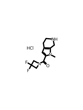 Cl.Cn1c(C(=O)N2CC(F)(F)C2)cc2c1CNCC2